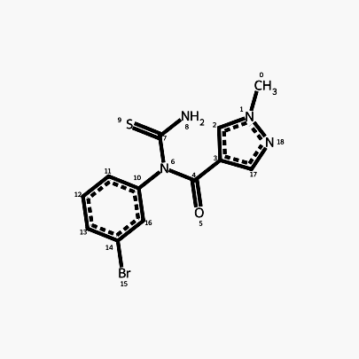 Cn1cc(C(=O)N(C(N)=S)c2cccc(Br)c2)cn1